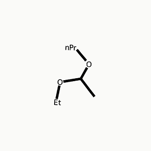 CCCOC(C)OCC